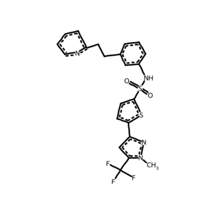 Cn1nc(-c2ccc(S(=O)(=O)Nc3cccc(CCc4ccccn4)c3)s2)cc1C(F)(F)F